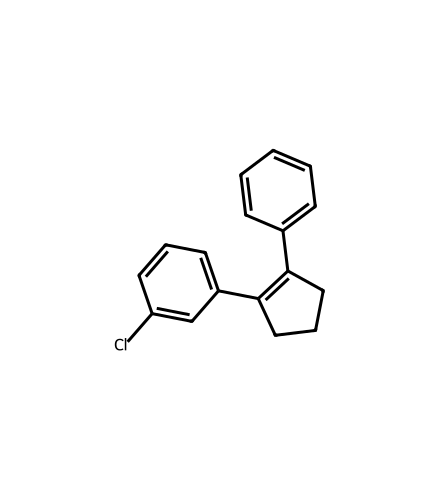 Clc1cccc(C2=C(c3ccccc3)CCC2)c1